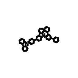 c1ccc(-c2ccc(-n3c4ccccc4c4cc(-c5ccc(-n6c7ccccc7c7ccccc76)cc5)ccc43)c(-c3ccccc3)c2)cc1